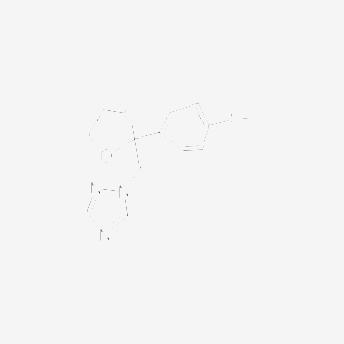 FC(F)(F)c1ccc(C2(Cn3cncn3)OCCO2)cc1